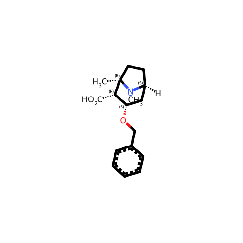 CN1[C@H]2CC[C@]1(C)[C@@H](C(=O)O)[C@@H](OCc1ccccc1)C2